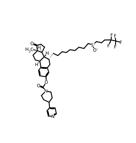 C[C@]12CC[C@@H]3c4ccc(OC(=O)N5CCC(c6ccncc6)CC5)cc4C[C@@H](CCCCCCCCC[S+]([O-])CCCC(F)(F)C(F)(F)F)[C@H]3[C@@H]1CCC2=O